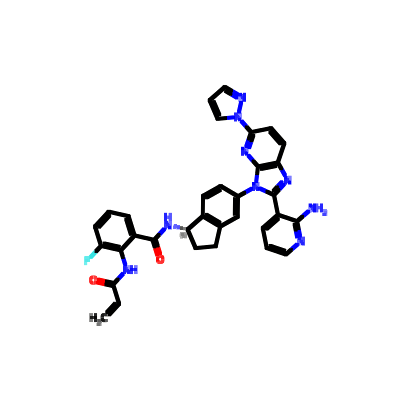 C=CC(=O)Nc1c(F)cccc1C(=O)N[C@H]1CCc2cc(-n3c(-c4cccnc4N)nc4ccc(-n5cccn5)nc43)ccc21